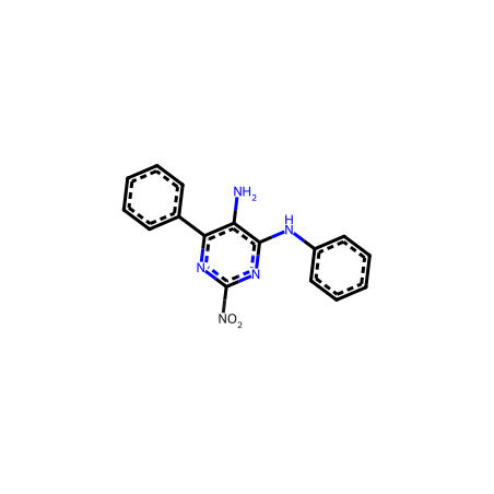 Nc1c(Nc2ccccc2)nc([N+](=O)[O-])nc1-c1ccccc1